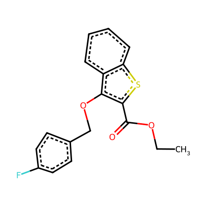 CCOC(=O)c1sc2ccccc2c1OCc1ccc(F)cc1